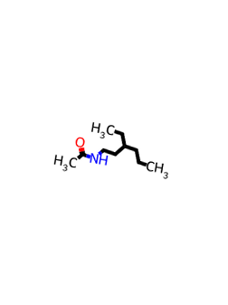 CCCC(CC)CCNC(C)=O